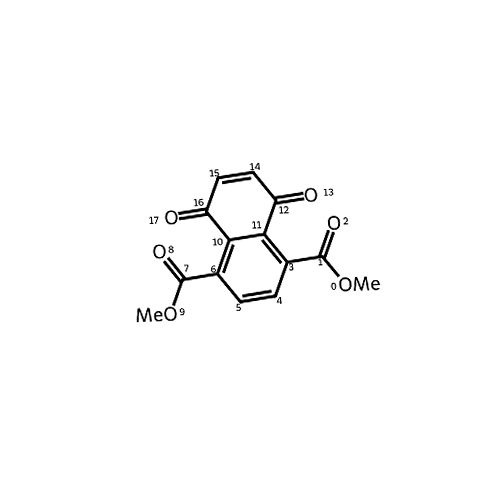 COC(=O)c1ccc(C(=O)OC)c2c1C(=O)C=CC2=O